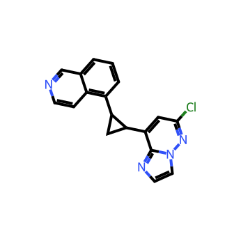 Clc1cc(C2CC2c2cccc3cnccc23)c2nccn2n1